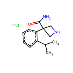 CC(C)c1ccccc1C1(C(N)=O)CNC1.Cl